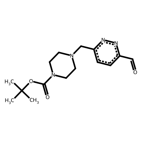 CC(C)(C)OC(=O)N1CCN(Cc2ccc(C=O)nn2)CC1